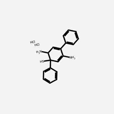 Cl.Cl.NC1=CC(S)(c2ccccc2)C(N)C=C1c1ccccc1